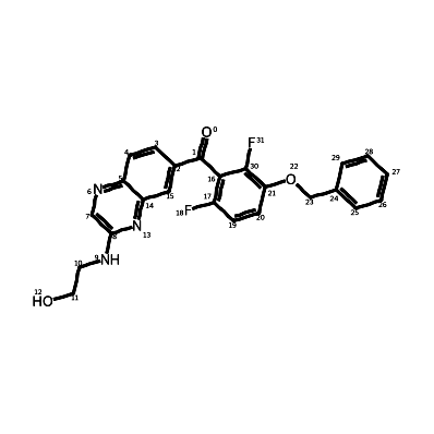 O=C(c1ccc2ncc(NCCO)nc2c1)c1c(F)ccc(OCc2ccccc2)c1F